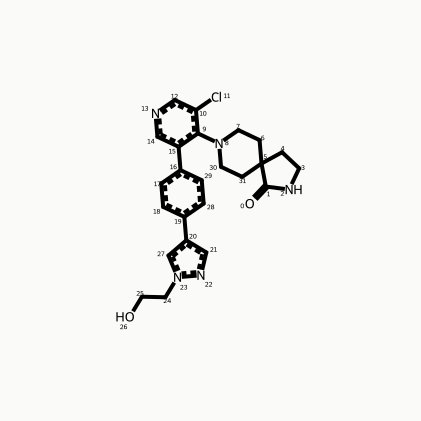 O=C1NCCC12CCN(c1c(Cl)cncc1-c1ccc(-c3cnn(CCO)c3)cc1)CC2